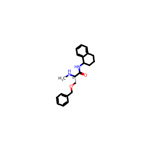 CN[C@@H](COCc1ccccc1)C(=O)NC1CCCc2ccccc21